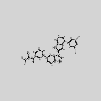 Cc1cc(F)cc(-c2cccc3[nH]c(-c4n[nH]c5ncc(-c6cncc(NC(=O)C(C)C)c6)cc45)cc23)c1